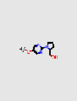 COc1cnc(N2CCCC2CO)nc1